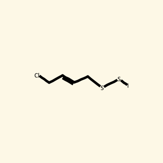 ClC/C=C/CSSI